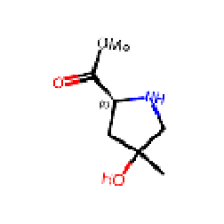 COC(=O)[C@@H]1CC(C)(O)CN1